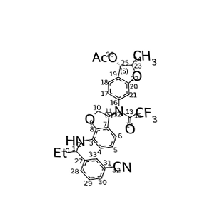 CCC(Nc1cccc2c1OC[C@H]2N(C(=O)C(F)(F)F)c1ccc2c(c1)OC(C)[C@H]2OC(C)=O)c1cccc(C#N)c1